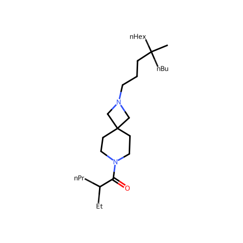 CCCCCCC(C)(CCCC)CCCN1CC2(CCN(C(=O)C(CC)CCC)CC2)C1